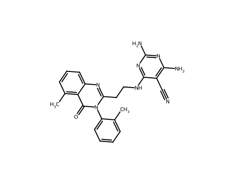 Cc1ccccc1-n1c(CCNc2nc(N)nc(N)c2C#N)nc2cccc(C)c2c1=O